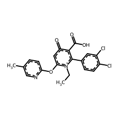 CCn1c(Oc2ccc(C)cn2)cc(=O)c(C(=O)O)c1-c1ccc(Cl)c(Cl)c1